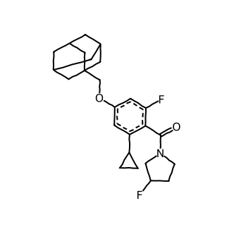 O=C(c1c(F)cc(OCC23CC4CC(CC(C4)C2)C3)cc1C1CC1)N1CCC(F)C1